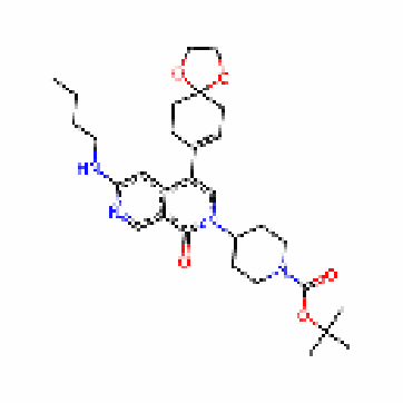 CCCCNc1cc2c(C3=CCC4(CC3)OCCO4)cn(C3CCN(C(=O)OC(C)(C)C)CC3)c(=O)c2cn1